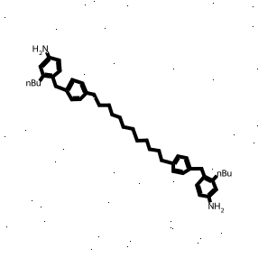 CCCCc1cc(N)ccc1Cc1ccc(CCCCCCCCCCCCc2ccc(Cc3ccc(N)cc3CCCC)cc2)cc1